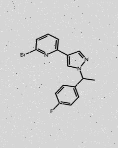 CC(c1ccc(F)cc1)n1cc(-c2cccc(Br)n2)cn1